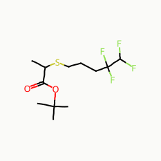 CC(SCCCC(F)(F)C(F)F)C(=O)OC(C)(C)C